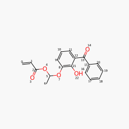 C=CC(=O)OC(C)Oc1cccc(C(=O)c2ccccc2)c1O